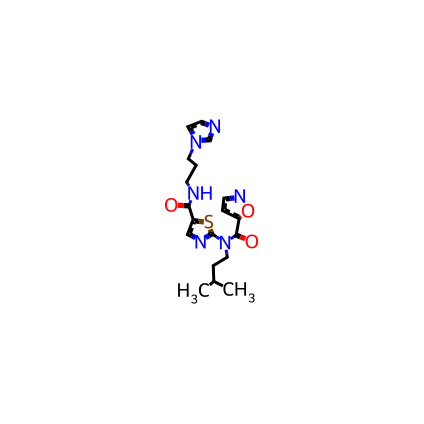 CC(C)CCN(C(=O)c1ccno1)c1ncc(C(=O)NCCCn2ccnc2)s1